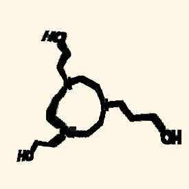 OCCCN1CCN(CCO)CCN(CCO)CC1